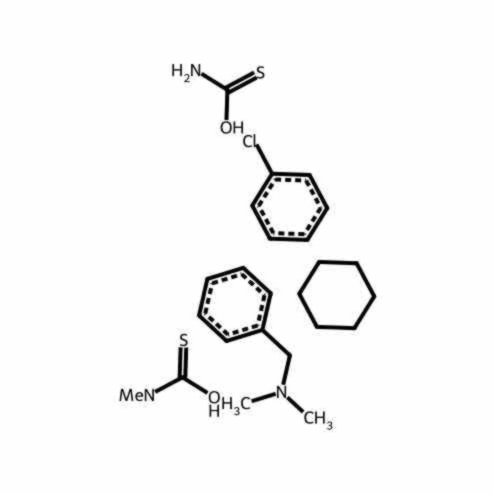 C1CCCCC1.CN(C)Cc1ccccc1.CNC(O)=S.Clc1ccccc1.NC(O)=S